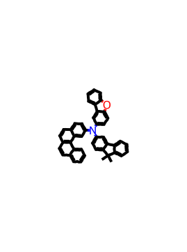 CC1(C)c2ccccc2-c2cc(N(c3ccc4oc5ccccc5c4c3)c3ccc4ccc5ccc6ccccc6c5c4c3)ccc21